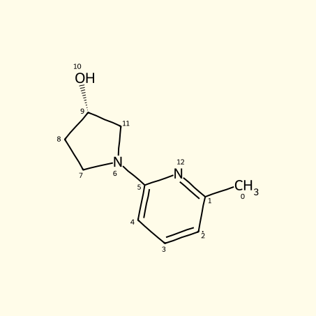 Cc1[c]ccc(N2CC[C@H](O)C2)n1